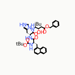 CCC(C)[C@H](NC(=O)[C@@H](Cc1c[nH]cn1)NC(=O)[C@H](Cc1cccc2ccccc12)NC(=O)OC(C)(C)C)[C@@H](O)CC(=O)OCc1ccccc1